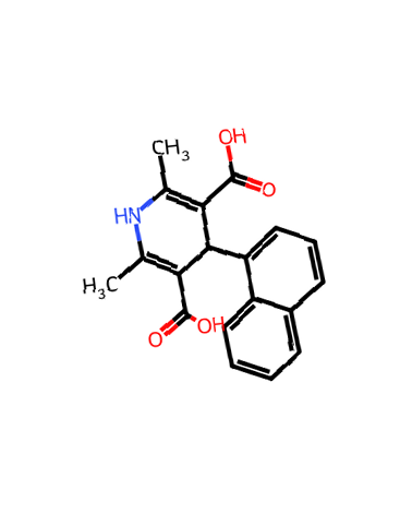 CC1=C(C(=O)O)C(c2cccc3ccccc23)C(C(=O)O)=C(C)N1